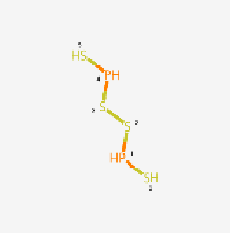 SPSSPS